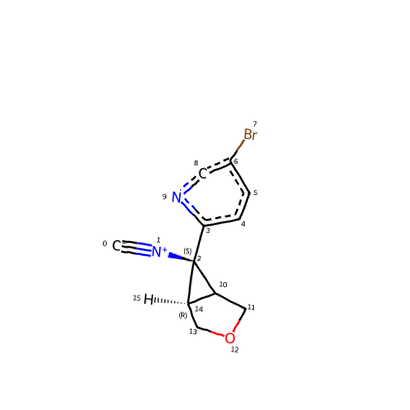 [C-]#[N+][C@@]1(c2ccc(Br)cn2)C2COC[C@H]21